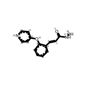 O=C(C=Cc1ccccc1Oc1ccncc1)NO